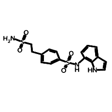 NS(=O)(=O)CCc1ccc(S(=O)(=O)Nc2cccc3cc[nH]c23)cc1